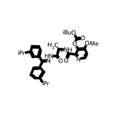 COc1ccnc(C(=O)N[C@@H](C)C(=O)NN=C(c2cccc(C(C)C)c2)c2cccc(C(C)C)c2)c1OC(=O)OCC(C)C